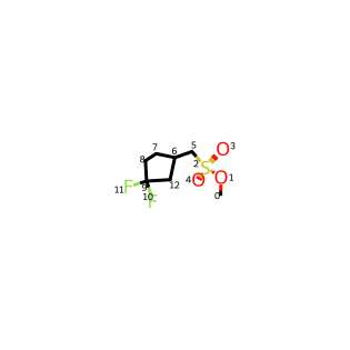 COS(=O)(=O)CC1CCC(F)(F)C1